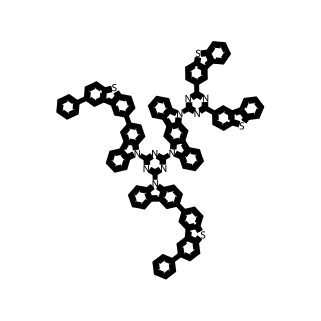 c1ccc(-c2ccc3sc4ccc(-c5ccc6c(c5)c5ccccc5n6-c5nc(-n6c7ccccc7c7cc(-c8ccc9sc%10ccc(-c%11ccccc%11)cc%10c9c8)ccc76)nc(-n6c7ccccc7c7cc8c(cc76)c6ccccc6n8-c6nc(-c7ccc8sc9ccccc9c8c7)nc(-c7ccc8sc9ccccc9c8c7)n6)n5)cc4c3c2)cc1